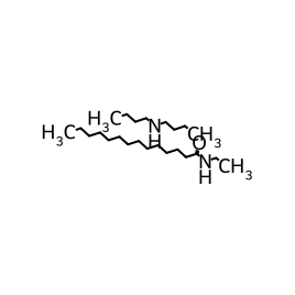 CCCCCCCCCCCCCC(=O)NCC.CCCCNCCCC